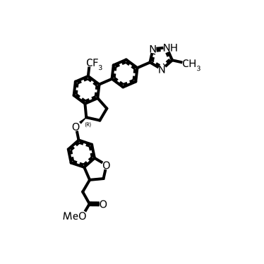 COC(=O)CC1COc2cc(O[C@@H]3CCc4c3ccc(C(F)(F)F)c4-c3ccc(-c4n[nH]c(C)n4)cc3)ccc21